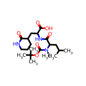 CC(C)CC(C(=O)NC(CC1CCCNC1=O)C(=O)O)N(C)C(=O)OC(C)(C)C